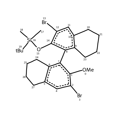 COc1c(Br)cc2c(c1-c1c3c(cc(Br)c1O[Si](C)(C)C(C)(C)C)CCCC3)CCCC2